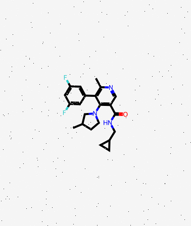 Cc1ncc(C(=O)NCC2CC2)c(N2CCC(C)C2)c1-c1cc(F)cc(F)c1